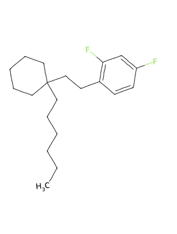 CCCCCCC1(CCc2ccc(F)cc2F)CCCCC1